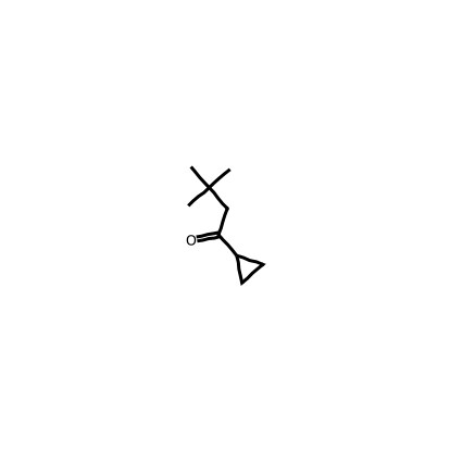 CC(C)(C)CC(=O)C1CC1